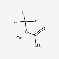 CC(=O)OC(F)(F)F.[Cu]